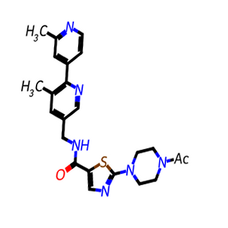 CC(=O)N1CCN(c2ncc(C(=O)NCc3cnc(-c4ccnc(C)c4)c(C)c3)s2)CC1